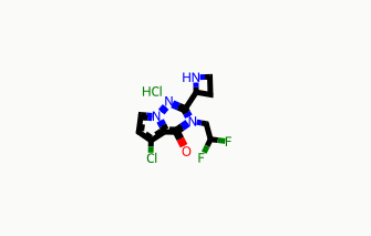 Cl.O=c1c2c(Cl)ccn2nc(C2CCN2)n1CC(F)F